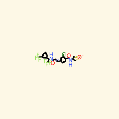 O=C(/C=C/c1ccc(C(=O)NC2C[S+]([O-])C2)c(Cl)c1)NC(c1cccc(C(F)(F)F)c1)C(F)(F)F